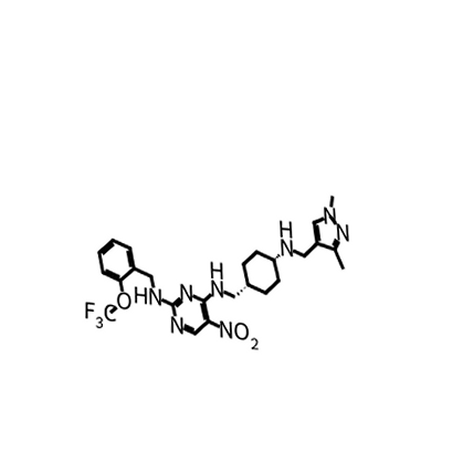 Cc1nn(C)cc1CN[C@H]1CC[C@@H](CNc2nc(NCc3ccccc3OC(F)(F)F)ncc2[N+](=O)[O-])CC1